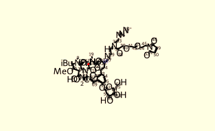 CCC(C)C([C@@H](CC(N)=O)OC)N(C)C(=O)CNC(=O)[C@H](C(C)C)N(C)C(=O)OC(C/C(N)=C/NCCN(CCN=[N+]=[N-])C(=O)COCCOCCN1C(=O)C=CC1=O)c1ccc(O[C@H]2C[C@@H](O)[C@@H](O)[C@@H](CO)O2)c2cc(C(=O)O)oc12